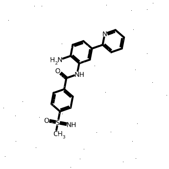 CS(=N)(=O)c1ccc(C(=O)Nc2cc(-c3ccccn3)ccc2N)cc1